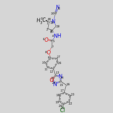 C[C@@H]1C[C@@H](NC(=O)COc2ccc(-c3nc(Cc4ccc(Cl)cc4)no3)cc2)CN1C#N